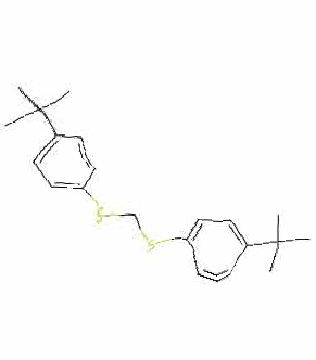 CC(C)(C)c1ccc(SCSc2ccc(C(C)(C)C)cc2)cc1